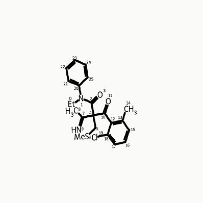 CCN(C(=O)C(CSC)(C(C)=N)C(=O)c1c(C)cccc1Cl)c1ccccc1